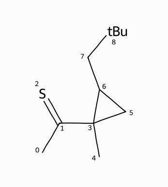 CC(=S)C1(C)CC1CC(C)(C)C